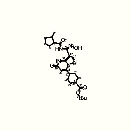 CC1CCCC1C(=O)N/C(=N/O)c1cnn2c(C3CCN(C(=O)OC(C)(C)C)CC3)cc(=O)[nH]c12